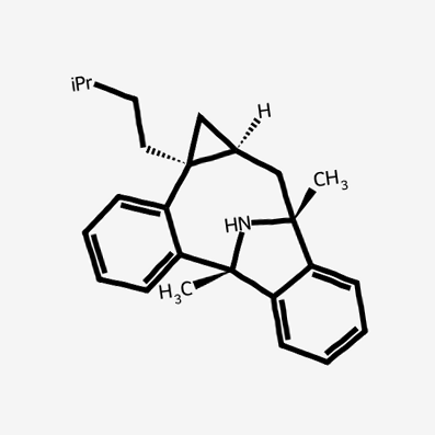 CC(C)CC[C@]12C[C@H]1C[C@@]1(C)N[C@@](C)(c3ccccc32)c2ccccc21